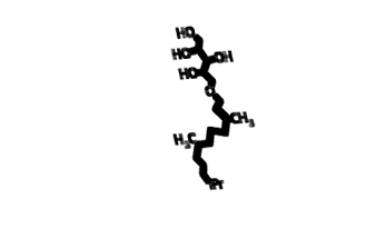 CC(=CCOCC(O)C(O)C(O)CO)CCCC(C)CCCC(C)C